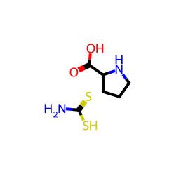 NC(=S)S.O=C(O)C1CCCN1